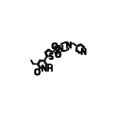 CCc1cc(-c2ccc(S(=O)(=O)N3CCN(Cc4ccncc4)CC3)s2)c(C)[nH]c1=O